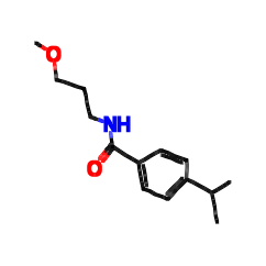 COCCCNC(=O)c1ccc(C(C)C)cc1